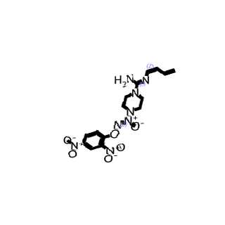 C=C/C=C\N=C(/N)N1CCN(/[N+]([O-])=N/Oc2ccc([N+](=O)[O-])cc2[N+](=O)[O-])CC1